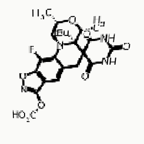 C[C@H]1CN2c3c(cc4c(OC(=O)O)noc4c3F)CC3(C(=O)NC(=O)NC3=O)[C@]2(C(C)(C)C)[C@@H](C)O1